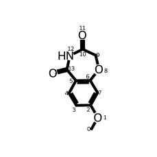 COc1ccc2c(c1)OCC(=O)NC2=O